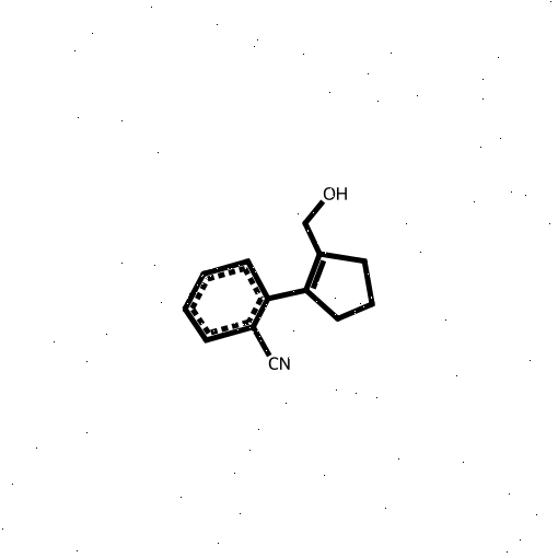 N#Cc1ccccc1C1=C(CO)CCC1